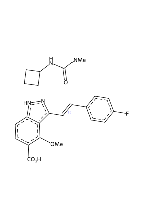 CNC(=O)NC1CCC1.COc1c(C(=O)O)ccc2[nH]nc(/C=C/c3ccc(F)cc3)c12